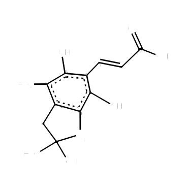 CC(=O)C=Cc1c(C)c(C)c2c(c1C)OC(C)(C)C2